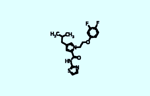 CC(C)Cc1cc(C(=O)Nc2nccs2)n(CCOc2ccc(F)c(F)c2)c1